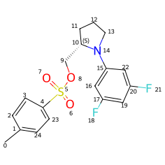 Cc1ccc(S(=O)(=O)OC[C@@H]2CCCN2c2cc(F)cc(F)c2)cc1